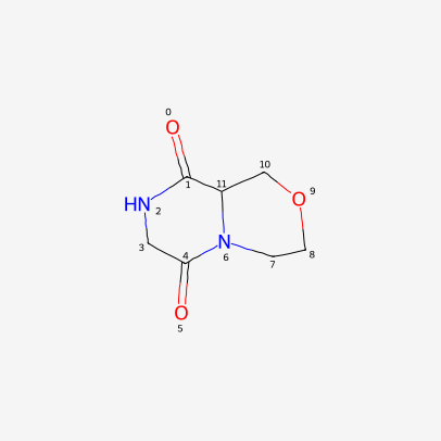 O=C1NCC(=O)N2CCOCC12